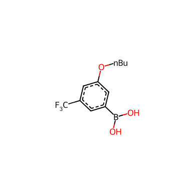 CCCCOc1cc(B(O)O)cc(C(F)(F)F)c1